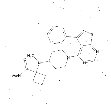 CNC(=O)C1(N(C)C2CCN(c3ncnc4scc(-c5ccccc5)c34)CC2)CCC1